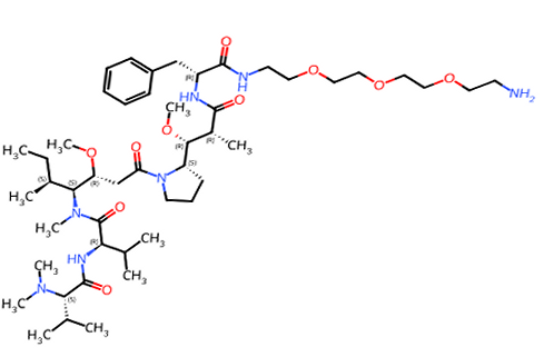 CC[C@H](C)[C@@H]([C@@H](CC(=O)N1CCC[C@H]1[C@H](OC)[C@@H](C)C(=O)N[C@H](Cc1ccccc1)C(=O)NCCOCCOCCOCCN)OC)N(C)C(=O)[C@H](NC(=O)[C@H](C(C)C)N(C)C)C(C)C